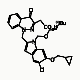 CC[C@H](C)CCOCn1c(Cn2nc(CC(=O)O)c(=O)c3ccccc32)cc2cc(Cl)c(OCC3CC3)cc21